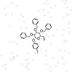 FC[C@H]1O[C@H](Oc2ccc(I)cc2)[C@@H](OCc2ccccc2)[C@@H](OCc2ccccc2)[C@@H]1OCc1ccccc1